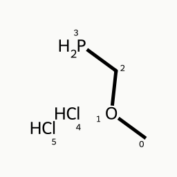 COCP.Cl.Cl